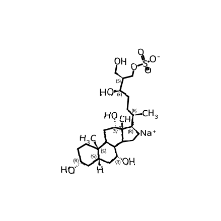 C[C@H](CC[C@@H](O)[C@@H](CO)COS(=O)(=O)[O-])[C@H]1CCC2C3C(C[C@H](O)[C@@]21C)[C@@]1(C)CC[C@@H](O)C[C@H]1C[C@H]3O.[Na+]